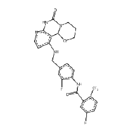 O=C(Nc1ccc(CNc2ccnc3c2C2OCCCN2C(=O)N3)cc1F)c1cc(F)ccc1C(F)(F)F